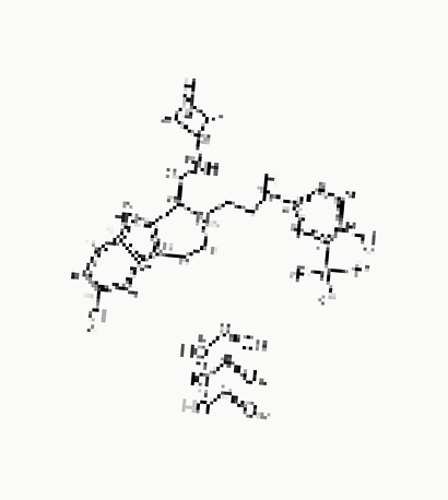 FC(F)(F)c1nc(NCCN2CCc3c([nH]c4ccc(Cl)cc34)C2CNC2CNC2)ccc1Cl.O=CO.O=CO.O=CO